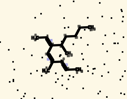 C\C=C(/C=C(C)\N=C\C)C(C)CCCC